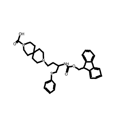 O=C(NC(CCN1CCC2(CC1)CCN(C(=O)O)CC2)CSc1ccccc1)OCC1c2ccccc2-c2ccccc21